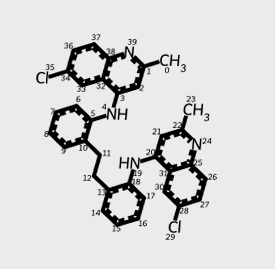 Cc1cc(Nc2ccccc2CCc2ccccc2Nc2cc(C)nc3ccc(Cl)cc23)c2cc(Cl)ccc2n1